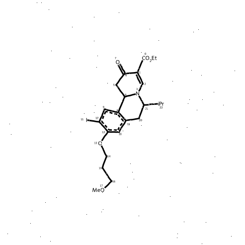 CCOC(=O)C1=CN2C(CC1=O)c1cc(I)c(OCCCOC)cc1CC2C(C)C